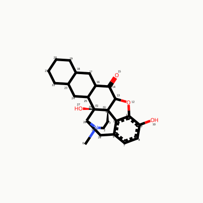 CN1CC[C@]23c4c5ccc(O)c4OC2C(=O)C2CC4CCCCC4CC2[C@@]3(O)C1C5